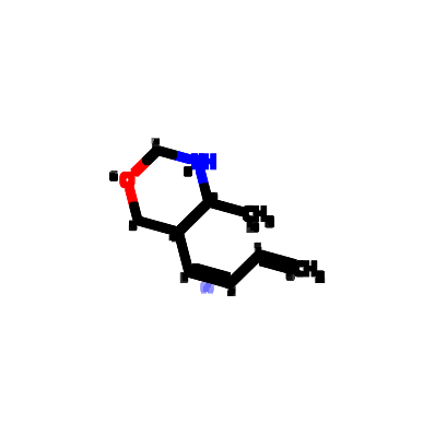 C=C/C=C\C1COCNC1C